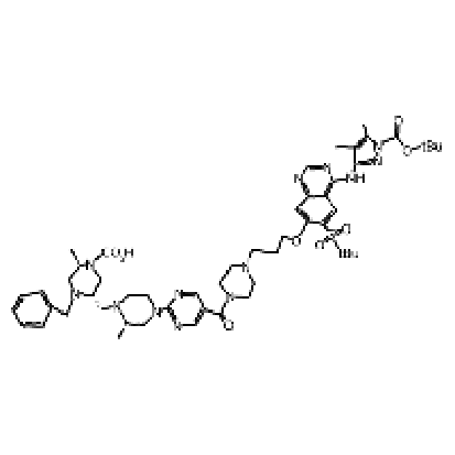 Cc1c(Nc2ncnc3cc(OCCCN4CCN(C(=O)c5cnc(N6CCN(C[C@H]7CN(C(=O)O)[C@H](C)CN7Cc7ccccc7)[C@H](C)C6)nc5)CC4)c(S(=O)(=O)C(C)(C)C)cc23)nn(C(=O)OC(C)(C)C)c1C